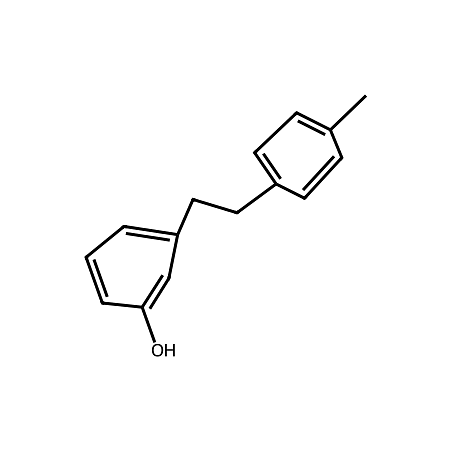 Cc1ccc(CCc2cccc(O)c2)cc1